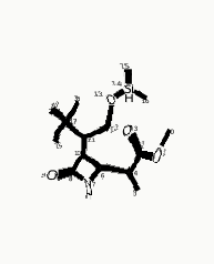 COC(=O)C(C)C1NC(=O)C1C(CO[SiH](C)C)C(C)(C)C